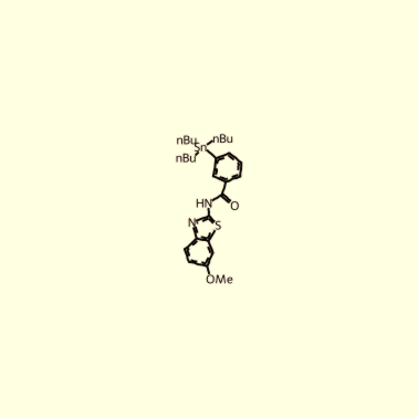 CCC[CH2][Sn]([CH2]CCC)([CH2]CCC)[c]1cccc(C(=O)Nc2nc3ccc(OC)cc3s2)c1